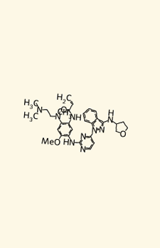 C=CC(=O)Nc1cc(Nc2nccc(-n3nc(NC4CCOC4)c4ccccc43)n2)c(OC)cc1N(C)CCN(C)C